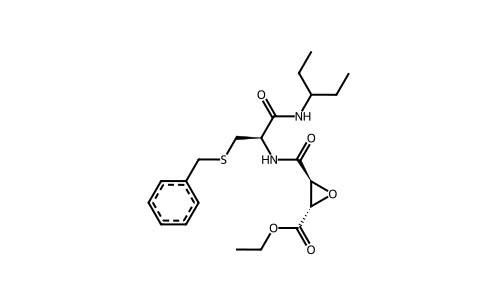 CCOC(=O)[C@H]1O[C@@H]1C(=O)N[C@@H](CSCc1ccccc1)C(=O)NC(CC)CC